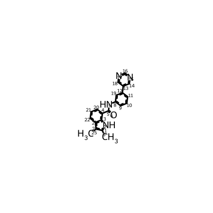 Cc1[nH]c2c(C(=O)Nc3cccc(-c4cncnc4)c3)cccc2c1C